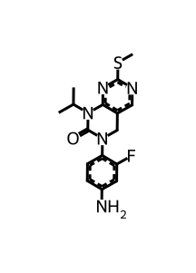 CSc1ncc2c(n1)N(C(C)C)C(=O)N(c1ccc(N)cc1F)C2